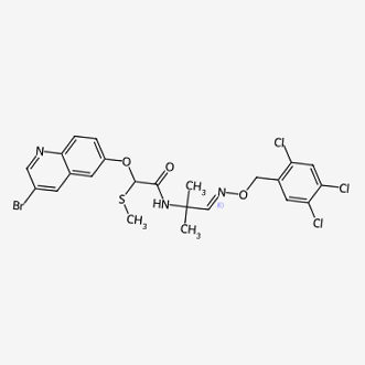 CSC(Oc1ccc2ncc(Br)cc2c1)C(=O)NC(C)(C)/C=N/OCc1cc(Cl)c(Cl)cc1Cl